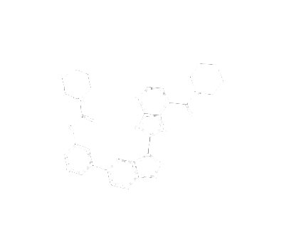 O=C(Nc1cncc(-c2cnc3[nH]nc(-c4nc5c(C(=O)N6CCOCC6)ccnc5[nH]4)c3c2)c1)N1CCOCC1